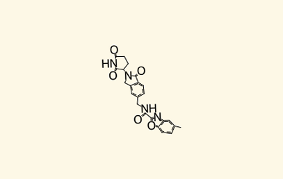 Cc1ccc2oc(C(=O)NCc3ccc4c(c3)CN(C3CCC(=O)NC3=O)C4=O)nc2c1